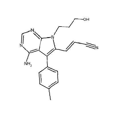 Cc1ccc(-c2c(C=CC#N)n(CCCO)c3ncnc(N)c23)cc1